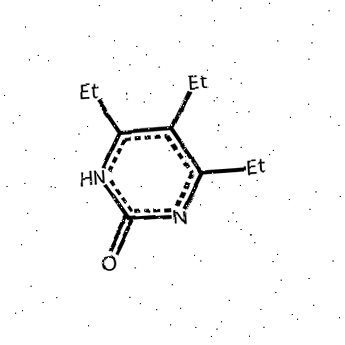 CCc1nc(=O)[nH]c(CC)c1CC